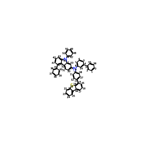 c1ccc(-c2cccc(N(c3ccc(-c4cccc5c4sc4ccccc45)cc3)c3ccc4c5c(-c6ccccc6)cccc5n(-c5ccccc5)c4c3)c2)cc1